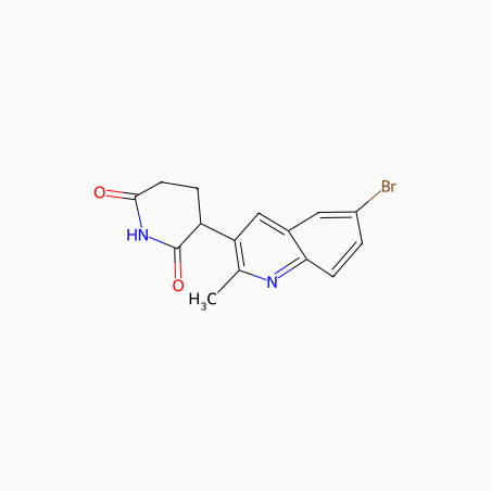 Cc1nc2ccc(Br)cc2cc1C1CCC(=O)NC1=O